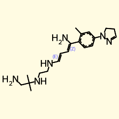 Cc1cc(N2CCC=N2)ccc1/C(N)=C/C=C/NCCNC(C)(C)CN